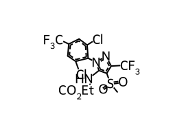 CCOC(=O)Nc1c(S(C)(=O)=O)c(C(F)(F)F)nn1-c1c(Cl)cc(C(F)(F)F)cc1Cl